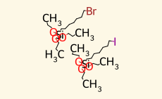 CCCO[Si](CCCCCCCBr)(OCCC)OCCC.CCCO[Si](CCCCCCCI)(OCCC)OCCC